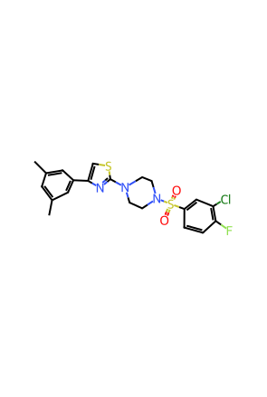 Cc1cc(C)cc(-c2csc(N3CCN(S(=O)(=O)c4ccc(F)c(Cl)c4)CC3)n2)c1